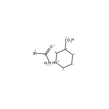 CC(C)C(N)=O.O=C(O)C1CCCNC1